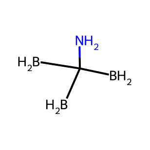 BC(B)(B)N